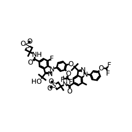 Cc1cc(C(=O)NC2(C)CS(=O)(=O)C2)cc2c(C(C)(C)Oc3ccc(-n4nc(C(C)(C)O)c5cc(C(=O)NC6(C)CS(=O)(=O)C6)cc(F)c54)cc3OC(F)F)nn(-c3cccc(OC(F)F)c3)c12